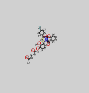 COc1c(OCC(=O)CCCC(C)=O)cccc1C1SC(c2ccc(F)cc2)=NN1C(=O)c1ccccc1O